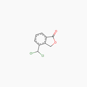 O=C1OCc2c1cccc2C(Cl)Cl